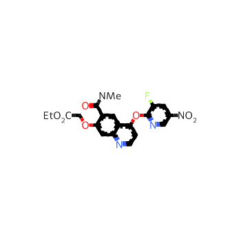 CCOC(=O)COc1cc2nccc(Oc3ncc([N+](=O)[O-])cc3F)c2cc1C(=O)NC